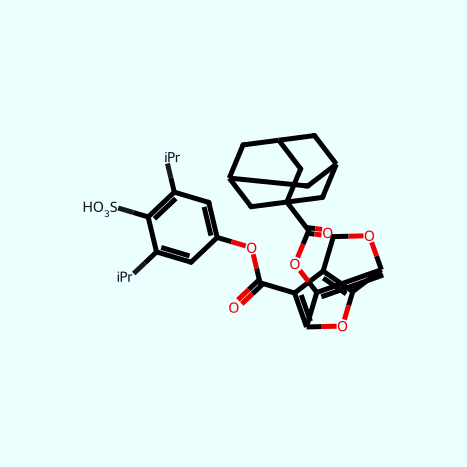 CC(C)c1cc(OC(=O)c2c3c4oc2c(OC(=O)C25CC6CC(CC(C6)C2)C5)c4OC3)cc(C(C)C)c1S(=O)(=O)O